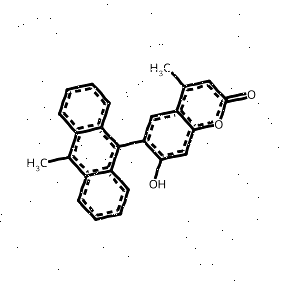 Cc1cc(=O)oc2cc(O)c(-c3c4ccccc4c(C)c4ccccc34)cc12